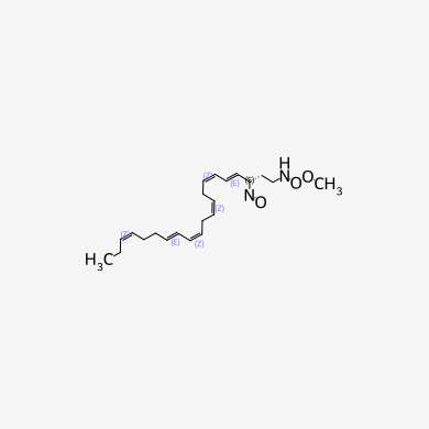 CC/C=C\CC/C=C/C=C\C/C=C\C/C=C\C=C\[C@H](CCNOOC)N=O